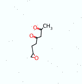 CC(=O)CC(=O)CCC1CO1